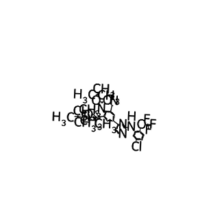 CC(C)(C)OC(=O)N1CC(C)(CO[Si](C)(C)C(C)(C)C)c2cc(-c3ccnc(Nc4cc(Cl)ccc4OC(F)(F)F)n3)cc(C#N)c21